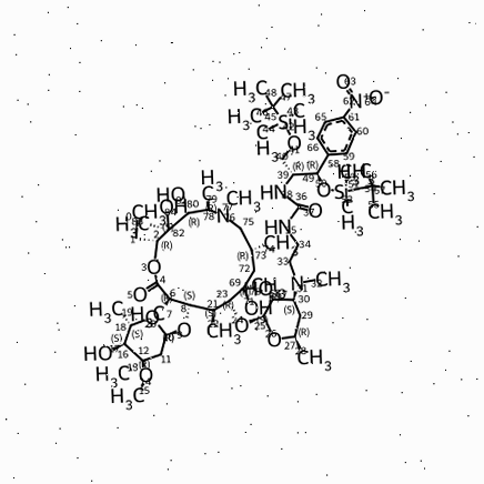 CC[C@H]1OC(=O)[C@H](C)[C@@H](O[C@H]2C[C@@](C)(OC)[C@@H](O)[C@H](C)O2)[C@H](C)[C@@H](O[C@@H]2O[C@H](C)C[C@H](N(C)CCNC(=O)N[C@H](CO[Si](C)(C)C(C)(C)C)[C@H](O[Si](C)(C)C(C)(C)C)c3ccc([N+](=O)[O-])cc3)[C@H]2O)[C@](C)(O)C[C@@H](C)CN(C)[C@H](C)[C@@H](O)[C@]1(C)O